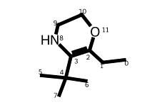 CCC1=C(C(C)(C)C)NCCO1